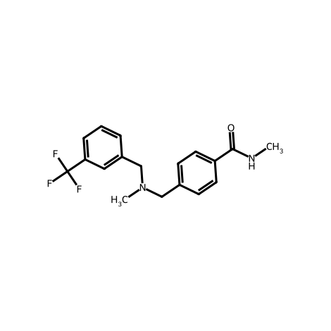 CNC(=O)c1ccc(CN(C)Cc2cccc(C(F)(F)F)c2)cc1